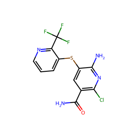 NC(=O)c1cc(Sc2cccnc2C(F)(F)F)c(N)nc1Cl